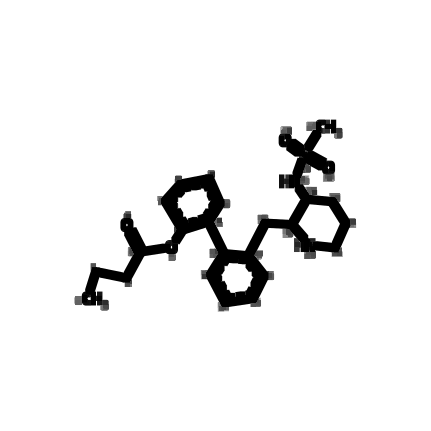 CCCC(=O)Oc1ccccc1-c1ccccc1CC1NCCCC1NS(C)(=O)=O